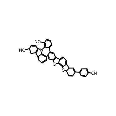 N#Cc1ccc(C2=CC3c4ccc5c(sc6ccc(-c7cccc(C#N)c7-n7c8c(c9ccccc97)CC(C#N)C=C8)cc65)c4SC3C=C2)cc1